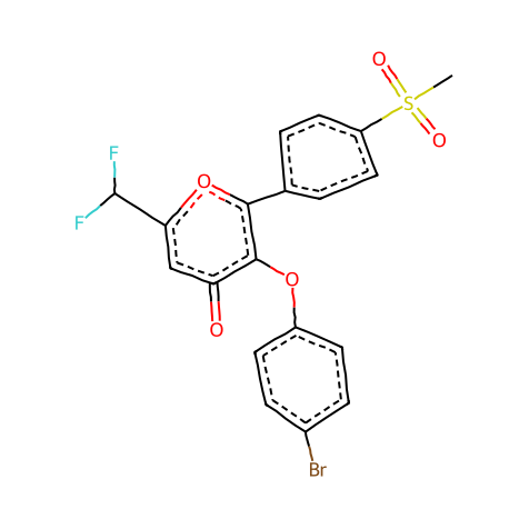 CS(=O)(=O)c1ccc(-c2oc(C(F)F)cc(=O)c2Oc2ccc(Br)cc2)cc1